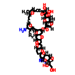 C=C1C[C@@H]2CC[C@]34OC5[C@@H]6O[C@H]7CC[C@H](CC(=O)O[C@@H]8CC9OC%10C[C@]%11(C[C@@H]%12O[C@@]%13(CC[C@@H]%12O%11)C[C@H](N)[C@@H]%11O[C@@H]%12[C@@H]([C@@H](O)CO)CO[C@@H]%12C[C@@H]%11O%13)O[C@@H]%10C[C@@H]9O[C@H]8C[C@H]8O[C@@H](CC[C@@H]1O2)C[C@@H](N)C8=C)O[C@@H]7[C@H](O3)[C@@H]6OC5(O)[C@H]4O